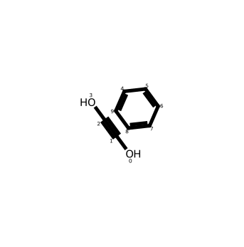 OC#CO.c1ccccc1